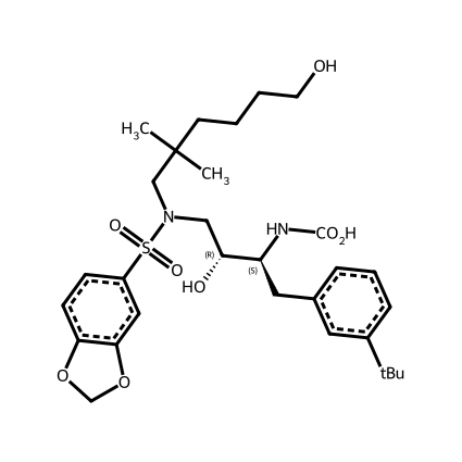 CC(C)(CCCCO)CN(C[C@@H](O)[C@H](Cc1cccc(C(C)(C)C)c1)NC(=O)O)S(=O)(=O)c1ccc2c(c1)OCO2